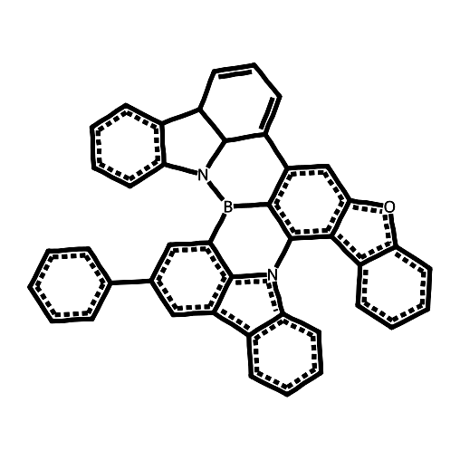 C1=CC2c3ccccc3N3B4c5c(cc6oc7ccccc7c6c5-n5c6ccccc6c6cc(-c7ccccc7)cc4c65)C(=C1)C23